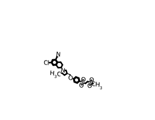 C[C@@H]1C[C@H](COc2ccc(S(=O)(=O)CCS(C)(=O)=O)cc2)CN1[C@H]1CCc2c(C#N)cc(Cl)cc2C1